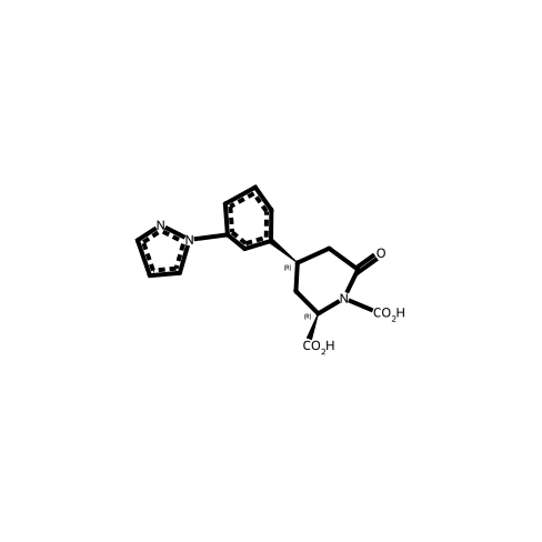 O=C(O)[C@H]1C[C@@H](c2cccc(-n3cccn3)c2)CC(=O)N1C(=O)O